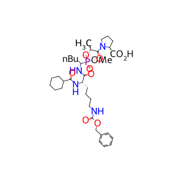 CCCCC(NC(=O)[C@H](CCCCNC(=O)OCc1ccccc1)NC(=O)C1CCCCC1)P(=O)(OC)O[C@@H](C)C(=O)N1CCC[C@H]1C(=O)O